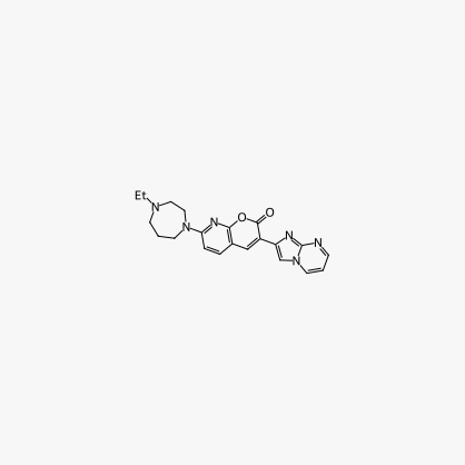 CCN1CCCN(c2ccc3cc(-c4cn5cccnc5n4)c(=O)oc3n2)CC1